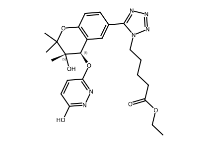 CCOC(=O)CCCCn1nnnc1-c1ccc2c(c1)[C@@H](Oc1ccc(O)nn1)[C@](C)(O)C(C)(C)O2